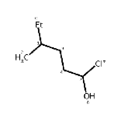 CCC(C)CCC(O)Cl